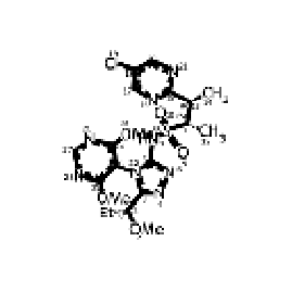 CC[C@@H](OC)c1nnc(NS(=O)(=O)[C@@H](C)[C@H](C)c2ncc(Cl)cn2)n1-c1c(OC)ncnc1OC